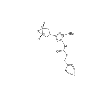 CC(C)(C)n1nc(C2C[C@@H]3O[C@@H]3C2)cc1NC(=O)OCc1ccccc1